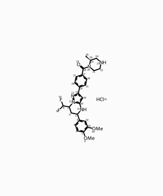 COc1ccc(C2CC(C(F)F)n3nc(-c4ccc(C(=O)N5CCNC[C@@H]5C)cc4)cc3N2)cc1OC.Cl